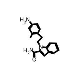 Cc1cc(N)ccc1CCn1c(C(N)=O)cc2ccccc21